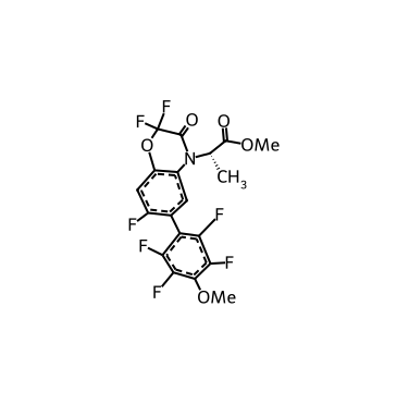 COC(=O)[C@H](C)N1C(=O)C(F)(F)Oc2cc(F)c(-c3c(F)c(F)c(OC)c(F)c3F)cc21